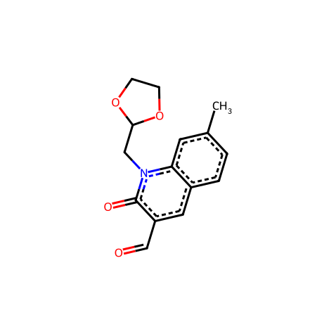 Cc1ccc2cc(C=O)c(=O)n(CC3OCCO3)c2c1